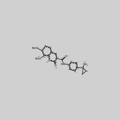 COc1ccc2cc(C(=O)Nc3ccc(C4(N)CC4)cc3)c(=O)oc2c1OC